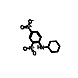 O=[N+]([O-])c1ccc(NC2CCCCC2)c([N+](=O)[O-])c1